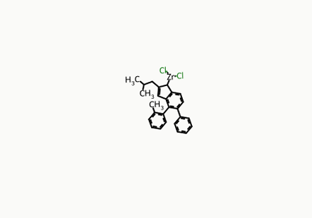 Cc1ccccc1-c1c(-c2ccccc2)ccc2c1C=C(CC(C)C)[CH]2[Zr]([Cl])[Cl]